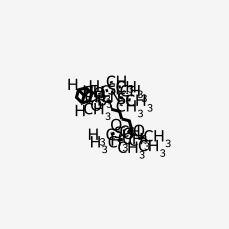 CC(C)(C)OC(=O)CC(CC[C@@H](B1O[C@@H]2C[C@@H]3C[C@@H](C3(C)C)[C@]2(C)O1)N([Si](C)(C)C)[Si](C)(C)C)O[Si](C)(C)C(C)(C)C